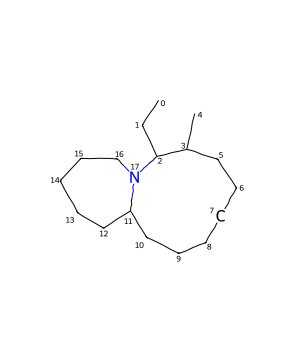 CCC1C(C)CCCCCCC2CCCCCN21